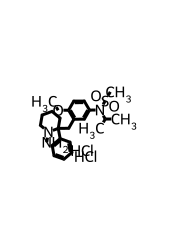 COc1ccc(N(C(C)C)S(C)(=O)=O)cc1CC1(c2ccccc2)CCCCN1N.Cl.Cl